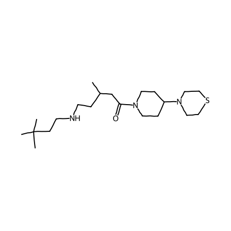 CC(CCNCCC(C)(C)C)CC(=O)N1CCC(N2CCSCC2)CC1